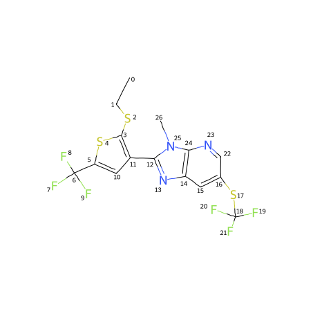 CCSc1sc(C(F)(F)F)cc1-c1nc2cc(SC(F)(F)F)cnc2n1C